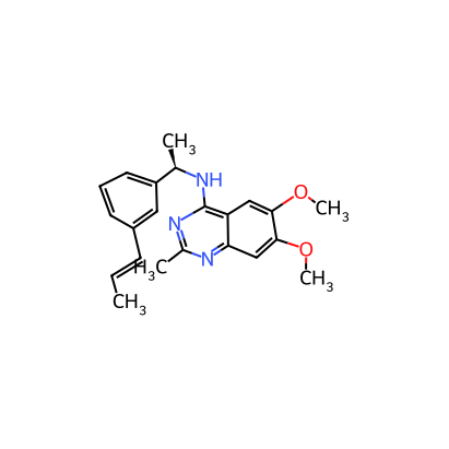 C/C=C/c1cccc([C@@H](C)Nc2nc(C)nc3cc(OC)c(OC)cc23)c1